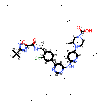 CC1CN(C(=O)O)CCN1c1ccc(Nc2cc(-c3ccc([C@@H](C)NC(=O)c4nc(C(C)(C)C)no4)c(Cl)c3)ncn2)nc1